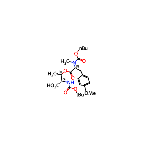 CCCCOC(=O)N(C)[C@@H](Cc1ccc(OC)cc1)C(=O)O[C@H](C)[C@H](NC(=O)OC(C)(C)C)C(=O)O